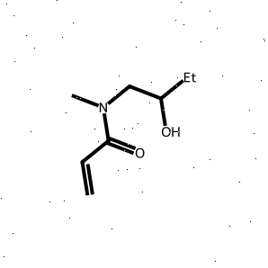 C=CC(=O)N(C)CC(O)CC